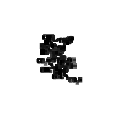 O=C[C@H](CCC(=O)O)NOCC1OC(OC2C(COCCN3CCOCC3)OC(OC3C(CO)OC(N[C@H](C=O)CCC(=O)O)C(O)C3O)C(O)C2O)C(O)C(O)C1ON[C@H](C=O)CCC(=O)O